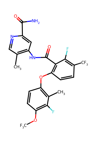 Cc1cnc(C(N)=O)cc1NC(=O)c1c(Oc2ccc(OC(F)(F)F)c(F)c2C)ccc(C(F)(F)F)c1F